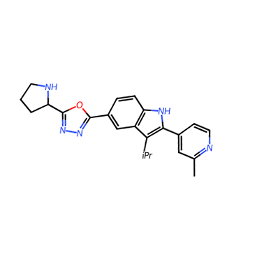 Cc1cc(-c2[nH]c3ccc(-c4nnc(C5CCCN5)o4)cc3c2C(C)C)ccn1